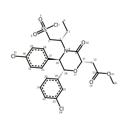 CC[C@@H](CS(=O)(=O)Cl)N1C(=O)[C@H](CC(=O)OC)O[C@H](c2cccc(Cl)c2)[C@H]1c1ccc(Cl)cc1